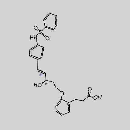 O=C(O)CCc1ccccc1OCC[C@@H](O)/C=C/c1ccc(NS(=O)(=O)c2ccccc2)cc1